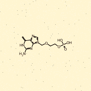 C=C1NC(N)=Nc2c1ncn2COCCOP(=O)(O)O